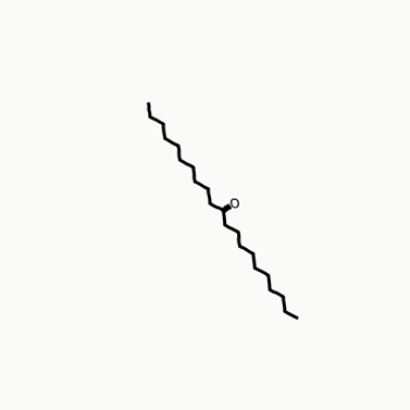 CCCCCCCCCCC(=O)CCCCCCCCCC